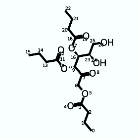 CCCC(=O)OCC(=O)[C@H](OC(=O)CCC)[C@@H](OC(=O)CCC)[C@H](O)CO